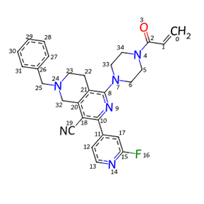 C=CC(=O)N1CCN(c2nc(-c3ccnc(F)c3)c(C#N)c3c2CCN(Cc2ccccc2)C3)CC1